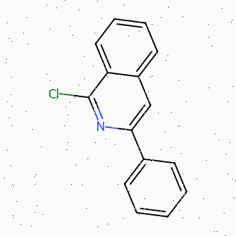 Clc1nc(-c2ccccc2)cc2ccccc12